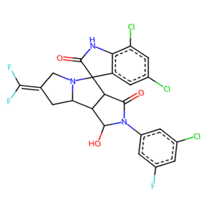 O=C1C2C(C(O)N1c1cc(F)cc(Cl)c1)C1CC(=C(F)F)CN1C21C(=O)Nc2c(Cl)cc(Cl)cc21